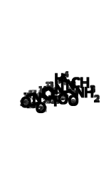 CN(C1CC1)[C@@H](C(N)=O)C(=O)Nc1ccc(N2CCOCC2=O)cc1F